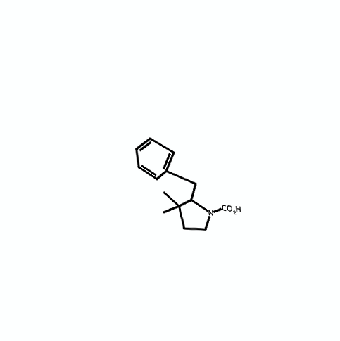 CC1(C)CCN(C(=O)O)C1Cc1ccccc1